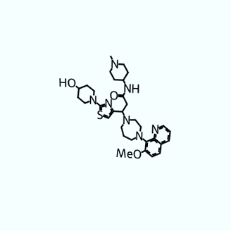 COc1ccc2cccnc2c1N1CCCN(C(CC(=O)NC2CCN(C)CC2)c2csc(N3CCC(O)CC3)n2)CC1